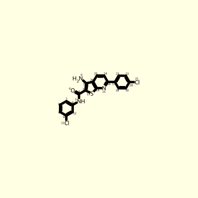 Nc1c(C(=O)Nc2cccc(Cl)c2)sc2nc(-c3ccc(Cl)cc3)ccc12